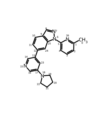 Cc1cccc(-n2ncc3ccc(-c4cncc(N5CCCC5)c4)cc32)n1